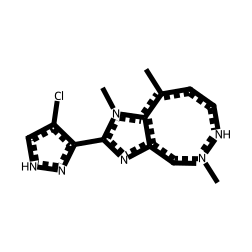 Cc1cc[nH]n(C)cc2nc(-c3n[nH]cc3Cl)n(C)c12